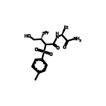 CCC[C@@H](CO)C(C(=O)N[C@@H](CC)C(N)=O)S(=O)(=O)c1ccc(C)cc1